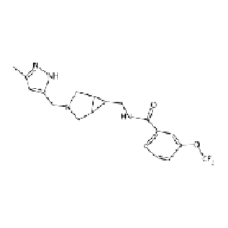 Cc1cc(CN2CC3C(CNC(=O)c4cccc(OC(F)(F)F)c4)C3C2)[nH]n1